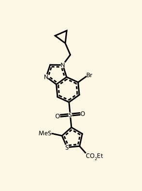 CCOC(=O)c1cc(S(=O)(=O)c2cc(Br)c3c(c2)ncn3CC2CC2)c(SC)s1